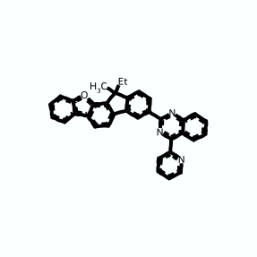 CCC1(C)c2ccc(-c3nc(-c4ccccn4)c4ccccc4n3)cc2-c2ccc3c(oc4ccccc43)c21